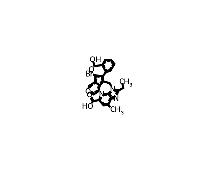 CCc1nc2c(C)cc(C(=O)O)nc2n1Cc1c2ccocc-2c(Br)c1-c1ccccc1C(=O)O